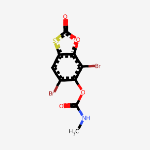 CNC(=O)Oc1c(Br)cc2sc(=O)oc2c1Br